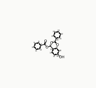 O=C(OC(OC(=O)c1ccccc1)c1ccc(O)cc1)c1ccccc1